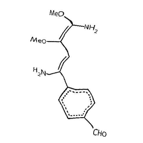 CO/C(N)=C(/C=C(\N)c1ccc(C=O)cc1)OC